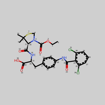 CCOC(=O)N1CSC(C)(C)[C@@H]1C(=O)N[C@@H](Cc1ccc(NC(=O)c2c(Cl)cccc2Cl)cc1)C(=O)O